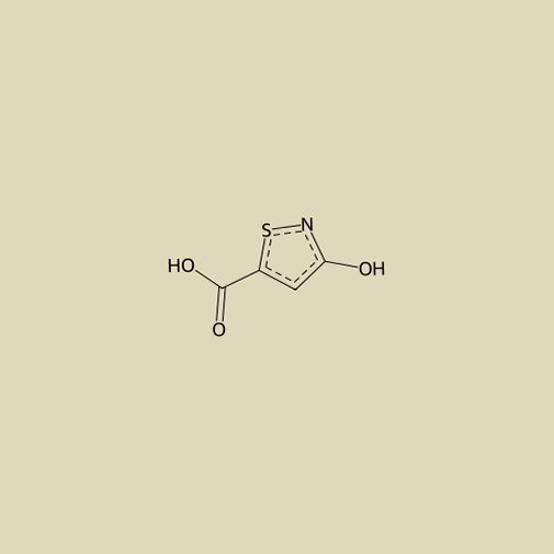 O=C(O)c1cc(O)ns1